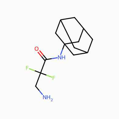 NCC(F)(F)C(=O)NC12CC3CC(CC(C3)C1)C2